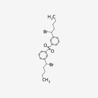 CCCCC(Br)c1cccc(S(=O)(=O)c2cccc(C(Br)CCCC)c2)c1